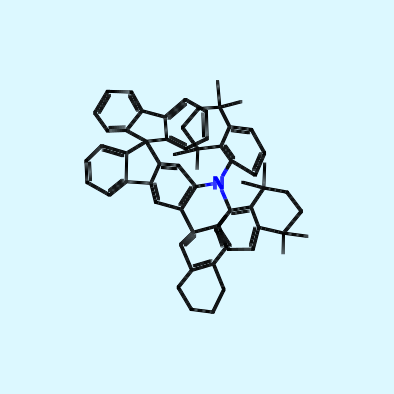 Cc1cc2c(cc1-c1cc3c(cc1N(c1cccc4c1C(C)(C)CCC4(C)C)c1cccc4c1C(C)(C)CCC4(C)C)C1(c4ccccc4-c4ccccc41)c1ccccc1-3)CCCC2